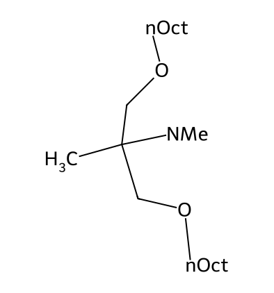 CCCCCCCCOCC(C)(COCCCCCCCC)NC